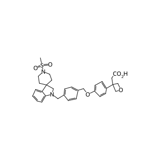 CS(=O)(=O)N1CCC2(CC1)CN(Cc1ccc(COc3ccc(C4(CC(=O)O)COC4)cc3)cc1)c1ccccc12